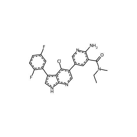 CCN(C)C(=O)c1cc(-c2cnc3[nH]cc(-c4cc(F)ccc4F)c3c2Cl)cnc1N